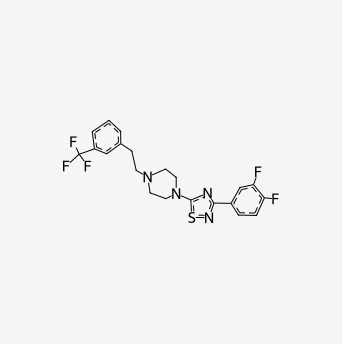 Fc1ccc(-c2nsc(N3CCN(CCc4cccc(C(F)(F)F)c4)CC3)n2)cc1F